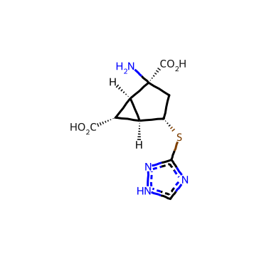 N[C@@]1(C(=O)O)C[C@H](Sc2nc[nH]n2)[C@H]2[C@H](C(=O)O)[C@H]21